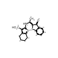 CC(Nc1sc2c(c1C(=O)O)CCCC2)=C1Sc2ccccc2C1=O